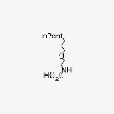 CCCCCCCCOCCNC(=O)O